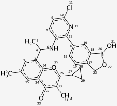 Cc1cc(C(C)Nc2ccc(Cl)nc2-c2ccc3c(c2)B(O)OC3)c2oc(C3CC3)c(C)c(=O)c2c1